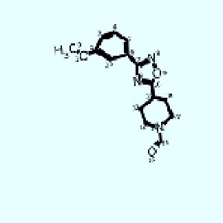 COc1cccc(-c2noc(C3CCN(C=O)CC3)n2)c1